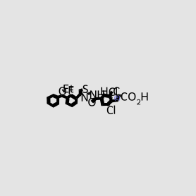 CCOC(c1ccccc1)c1cccc(-c2csc(NC(=O)c3cc(Cl)c(/C=C(\C)C(=O)O)c(Cl)c3)n2)c1F